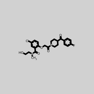 CN(CCO)C(=O)c1cc(Cl)ccc1OCC(=O)N1CCC(C(=O)c2ccc(F)cc2)CC1